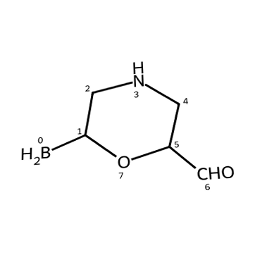 BC1CNCC(C=O)O1